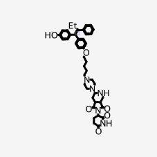 CC/C(=C(\c1ccc(O)cc1)c1ccc(OCCCCCN2CCN(C3CC4C(=O)N(C5CCC(=O)NC5=O)C(=O)C4CN3)CC2)cc1)c1ccccc1